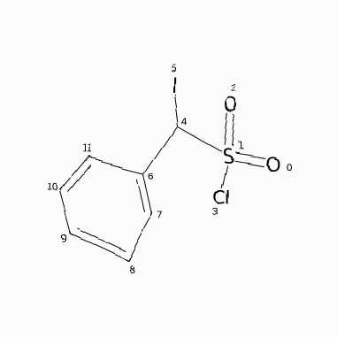 O=S(=O)(Cl)C(I)c1ccccc1